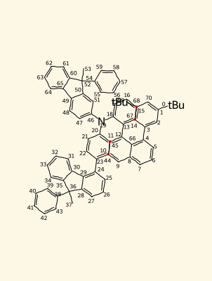 CC(C)(C)c1cc(-c2cccc3cccc(-c4ccccc4N(c4ccc(-c5cccc6c5-c5ccccc5C6(C)c5ccccc5)cc4)c4ccc5c(c4)C(C)(c4ccccc4)c4ccccc4-5)c23)cc(C(C)(C)C)c1